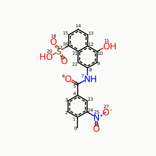 Cc1ccc(C(=O)Nc2cc(O)c3cccc(S(=O)(=O)O)c3c2)cc1[N+](=O)[O-]